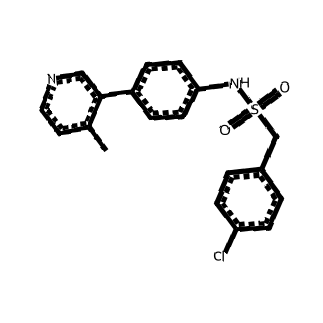 Cc1ccncc1-c1ccc(NS(=O)(=O)Cc2ccc(Cl)cc2)cc1